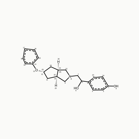 Oc1ccc(C(O)CN2C[C@H]3C[C@H](Oc4ccccc4)C[C@H]3C2)nc1